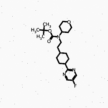 CC(C)(C)OC(=O)N(CCC1CCC(c2ncc(F)cn2)CC1)C1CCOCC1